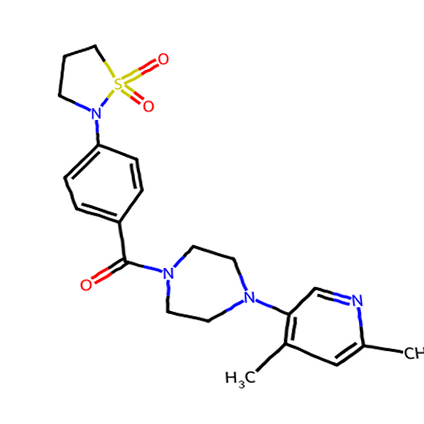 Cc1cc(C)c(N2CCN(C(=O)c3ccc(N4CCCS4(=O)=O)cc3)CC2)cn1